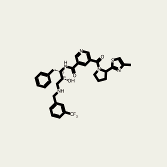 Cc1csc(C2CCCN2C(=O)c2cncc(C(=O)N[C@@H](Cc3ccccc3)[C@H](O)CNCc3cccc(C(F)(F)F)c3)c2)n1